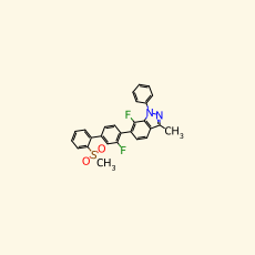 Cc1nn(-c2ccccc2)c2c(F)c(-c3ccc(-c4ccccc4S(C)(=O)=O)cc3F)ccc12